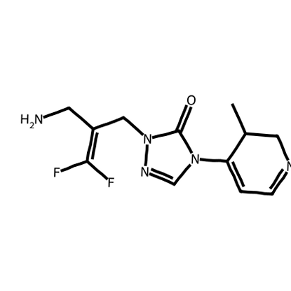 CC1CN=CC=C1n1cnn(CC(CN)=C(F)F)c1=O